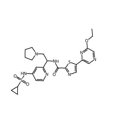 CCOc1cncc(-c2cnc(C(=O)NC(CN3CCCC3)c3cc(NS(=O)(=O)C4CC4)ccn3)s2)n1